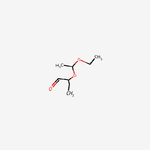 CCOC(C)OC(C)C=O